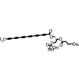 CC#CC#CC#CC#CC#CC#CC(=O)OC[C@@H](COP(=O)(O)O)OC(=O)CCCCCCCCCCCC